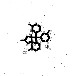 CC1=C[C]([Ti+3])(C(c2cccc(C)c2)(c2cccc(C)c2)c2cccc(C)c2)C(C)=C1.[Cl-].[Cl-].[Cl-]